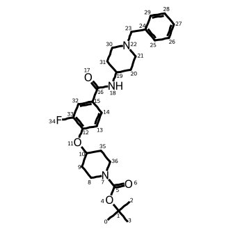 CC(C)(C)OC(=O)N1CCC(Oc2ccc(C(=O)NC3CCN(Cc4ccccc4)CC3)cc2F)CC1